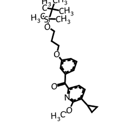 COc1nc(C(=O)c2cccc(OCCCO[Si](C)(C)C(C)(C)C)c2)ccc1C1CC1